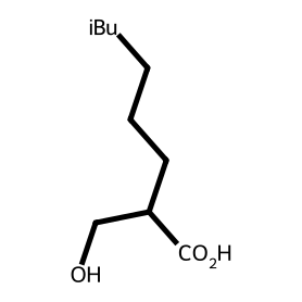 CCC(C)CCCC(CO)C(=O)O